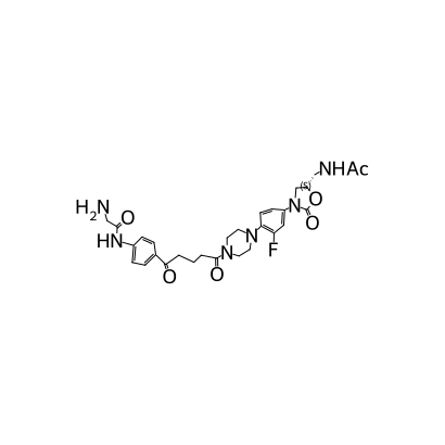 CC(=O)NC[C@H]1CN(c2ccc(N3CCN(C(=O)CCCC(=O)c4ccc(NC(=O)CN)cc4)CC3)c(F)c2)C(=O)O1